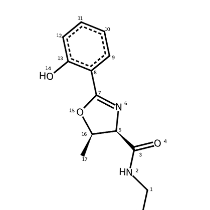 CCNC(=O)[C@@H]1N=C(c2ccccc2O)O[C@@H]1C